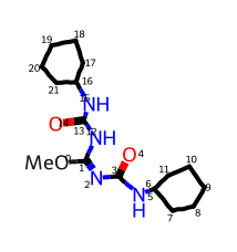 COC(=NC(=O)NC1CCCCC1)NC(=O)NC1CCCCC1